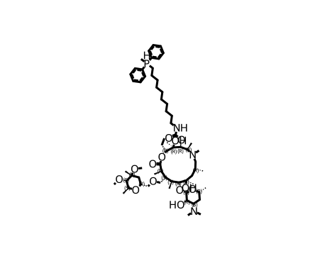 CC[C@H]1OC(=O)[C@H](C)[C@@H](COC[C@H]2C[C@@](C)(OC)[C@@H](OC)[C@H](C)O2)[C@H](C)[C@@H](O[C@@H]2O[C@H](C)C[C@H](N(C)C)[C@H]2O)[C@](C)(O)C[C@@H](C)CN(C)[C@H](C)[C@@H](OC(=O)NCCCCCCCCCC[PH](C)(c2ccccc2)c2ccccc2)[C@]1(C)O